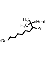 CCCCCCCCCCCCCCCCC([C](C)C)C(C)(C)CCCCCCC